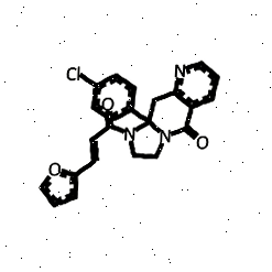 O=C(/C=C/c1ccco1)N1CCN2C(=O)c3cccnc3CC12c1ccc(Cl)cc1